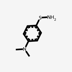 CN(C)c1ccc(SN)cc1